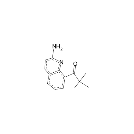 CC(C)(C)C(=O)c1cccc2ccc(N)nc12